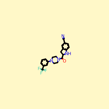 N#Cc1ccc2c(c1)CC(C(=O)N1CCN(c3cccc(C(F)(F)F)c3)CC1)N2